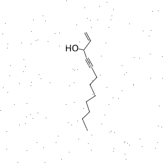 C=CC(O)C#CCCCCCCC